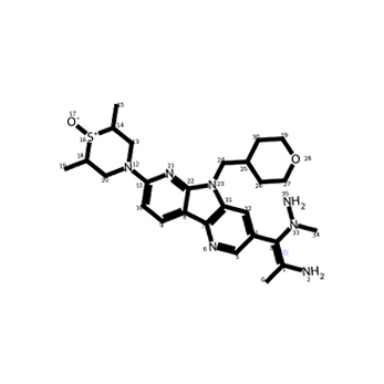 C/C(N)=C(\c1cnc2c3ccc(N4CC(C)[S+]([O-])C(C)C4)nc3n(CC3CCOCC3)c2c1)N(C)N